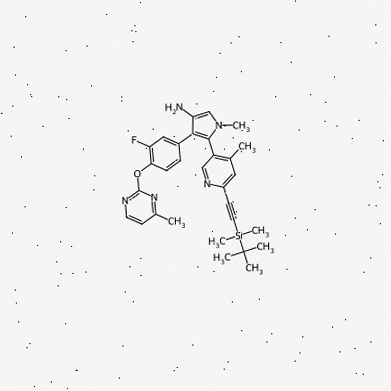 Cc1ccnc(Oc2ccc(-c3c(N)cn(C)c3-c3cnc(C#C[Si](C)(C)C(C)(C)C)cc3C)cc2F)n1